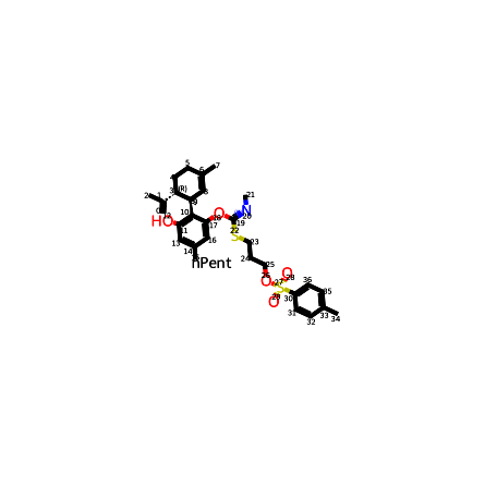 C=C(C)[C@@H]1CCC(C)=C[C@H]1c1c(O)cc(CCCCC)cc1O/C(=N\C)SCCCOS(=O)(=O)c1ccc(C)cc1